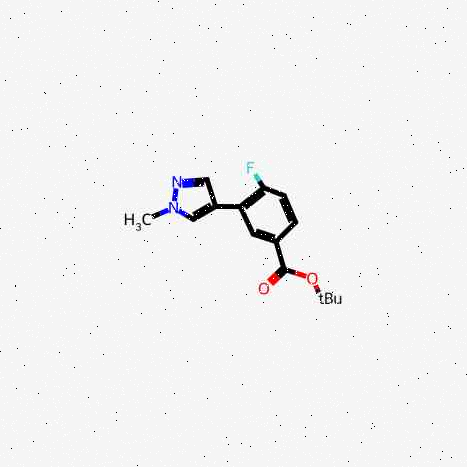 Cn1cc(-c2cc(C(=O)OC(C)(C)C)ccc2F)cn1